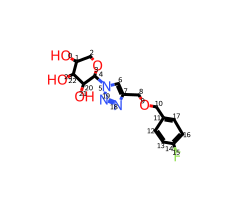 OC1COC(n2cc(COCc3ccc(F)cc3)nn2)C(O)C1O